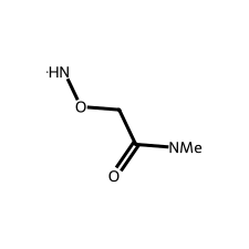 CNC(=O)CO[NH]